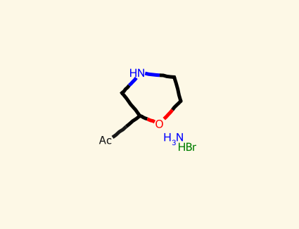 Br.CC(=O)C1CNCCO1.N